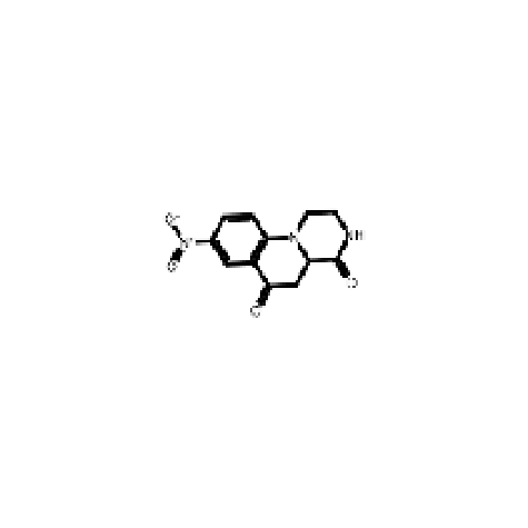 O=C1CC2C(=O)NCCN2c2ccc([N+](=O)[O-])cc21